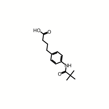 CC(C)(C)C(=O)Nc1ccc(CCCC(=O)O)cc1